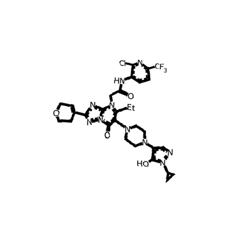 CCc1c(N2CCN(c3cnn(C4CC4)c3O)CC2)c(=O)n2nc(C3=CCOCC3)nc2n1CC(=O)Nc1ccc(C(F)(F)F)nc1Cl